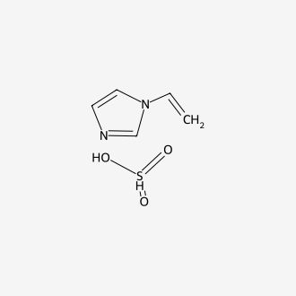 C=Cn1ccnc1.O=[SH](=O)O